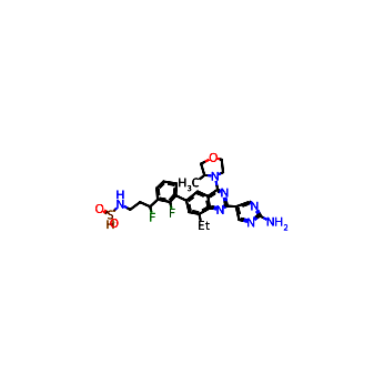 CCc1cc(-c2cccc(C(F)CCN[SH](=O)=O)c2F)cc2c(N3CCOCC3C)nc(-c3cnc(N)nc3)nc12